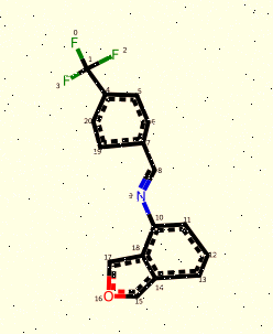 FC(F)(F)c1ccc(C=Nc2cccc3cocc23)cc1